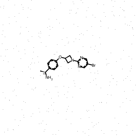 C[C@H](N)c1ccc(OC2CN(c3ncc(Br)cn3)C2)cc1